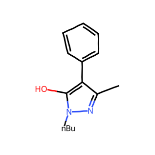 CCCCn1nc(C)c(-c2ccccc2)c1O